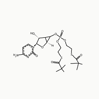 CC(C)(C)C(=O)SCCOP(=O)(OCCSC(=O)C(C)(C)C)OC1C2[C@@H]1O[C@@H](n1ccc(N)nc1=O)[C@@H]2O